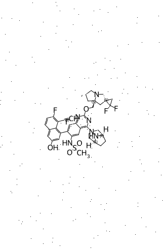 C#Cc1c(F)ccc2cc(O)cc(-c3c(NS(C)(=O)=O)cc4c(N5C[C@H]6CC[C@@H](C5)N6)nc(OC[C@@]56CCCN5C[C@@]5(CC5(F)F)C6)nc4c3F)c12